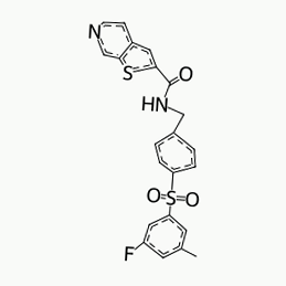 Cc1cc(F)cc(S(=O)(=O)c2ccc(CNC(=O)c3cc4ccncc4s3)cc2)c1